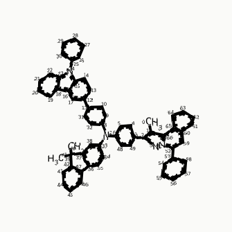 Cc1c(-c2ccc(N(c3ccc(-c4ccc5c(c4)c4ccccc4n5-c4ccccc4)cc3)c3ccc4c(c3)C(C)(C)c3ccccc3-4)cc2)nn2c(-c3ccccc3)cc3ccccc3c12